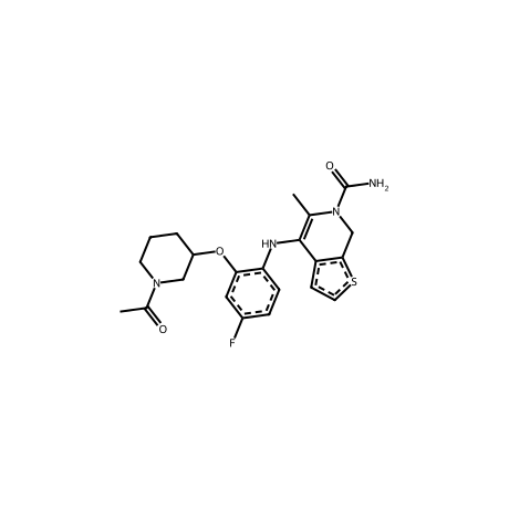 CC(=O)N1CCCC(Oc2cc(F)ccc2NC2=C(C)N(C(N)=O)Cc3sccc32)C1